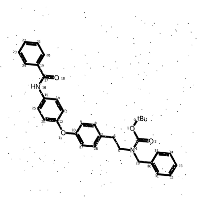 CC(C)(C)OC(=O)N(CCc1ccc(Oc2ccc(NC(=O)c3ccccc3)cc2)cc1)Cc1ccccc1